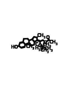 CC(=O)OC/C(O[Si](C)(C)C)=C1\[C@H](C)CC2C3CCC4=CC(O)C=C[C@]4(C)C3=CC[C@]12C